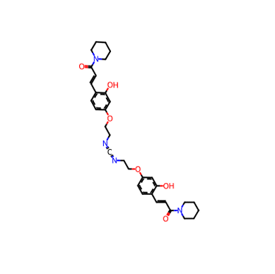 O=C(/C=C/c1ccc(OCCN=C=NCCOc2ccc(/C=C/C(=O)N3CCCCC3)c(O)c2)cc1O)N1CCCCC1